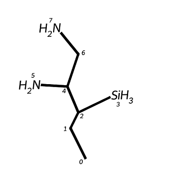 CCC([SiH3])C(N)CN